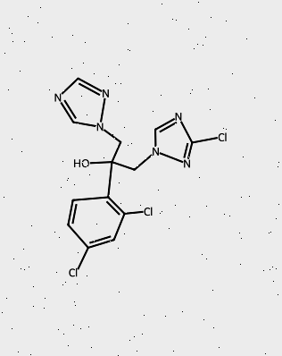 OC(Cn1cncn1)(Cn1cnc(Cl)n1)c1ccc(Cl)cc1Cl